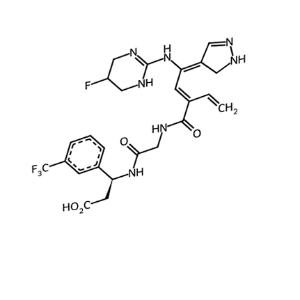 C=C/C(=C\C(NC1=NCC(F)CN1)=C1\C=NNC1)C(=O)NCC(=O)N[C@@H](CC(=O)O)c1cccc(C(F)(F)F)c1